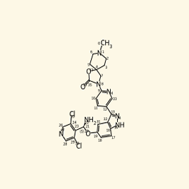 CN1CCC2(CC1)CN(c1ccc(-c3n[nH]c4ccc(O[C@H](N)c5c(Cl)cncc5Cl)cc34)cn1)C(=O)O2